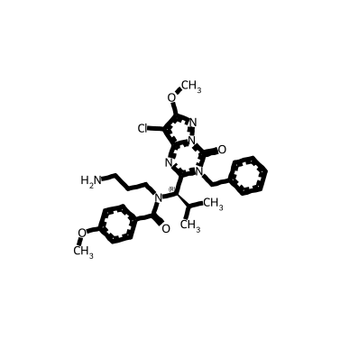 COc1ccc(C(=O)N(CCCN)[C@@H](c2nc3c(Cl)c(OC)nn3c(=O)n2Cc2ccccc2)C(C)C)cc1